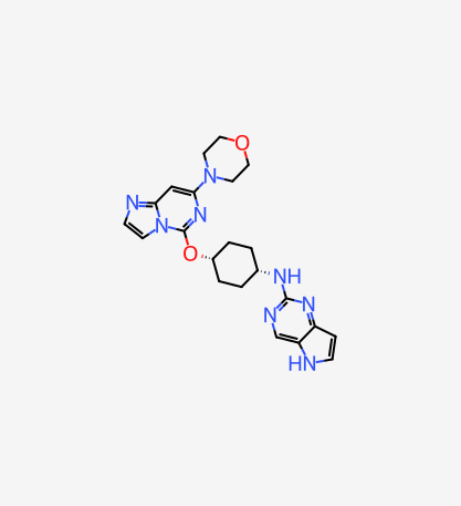 c1cn2c(O[C@H]3CC[C@@H](Nc4ncc5[nH]ccc5n4)CC3)nc(N3CCOCC3)cc2n1